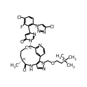 C[C@@H]1CCC[C@H](n2cnc(-c3c(-n4cc(Cl)nn4)ccc(Cl)c3F)cc2=O)c2cc(ccn2)-c2c(cnn2COCC[Si](C)(C)C)NC1=O